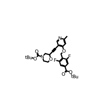 Cc1cc(OCc2c(F)cc(C(=O)OC(C)(C)C)cc2F)c(C#CC2CN(C(=O)OC(C)(C)C)CCO2)cn1